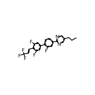 CCCc1cnc(-c2ccc(-c3cc(F)c(/C=C/C(F)(F)F)c(F)c3)c(F)c2)nc1